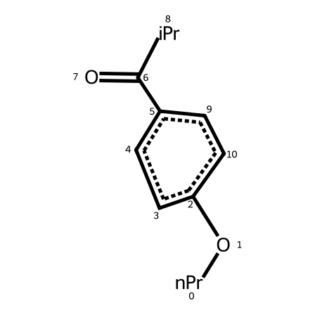 CCCOc1ccc(C(=O)C(C)C)cc1